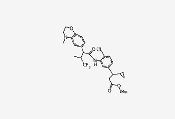 CC(C(C(=O)Nc1cc(C(CC(=O)OC(C)(C)C)C2CC2)ccc1Cl)c1ccc2c(c1)N(C)CCO2)C(F)(F)F